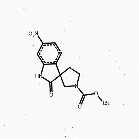 CC(C)(C)OC(=O)N1CCC2(C1)C(=O)Nc1cc([N+](=O)[O-])ccc12